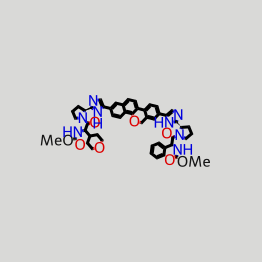 COC(=O)NC(C(=O)N1CCC[C@H]1c1ncc(-c2ccc3c4c(ccc3c2)-c2ccc(-c3cnc([C@@H]5CCCN5C(=O)[C@H](NC(=O)OC)c5ccccc5)[nH]3)cc2CO4)[nH]1)C1CCOCC1